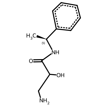 C[C@H](NC(=O)C(O)CN)c1ccccc1